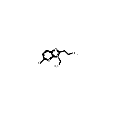 CCCc1nc2ccc(Cl)nc2n1CC